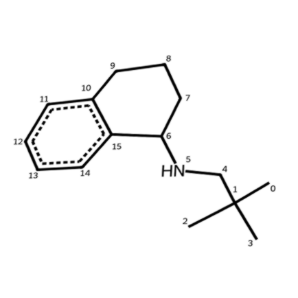 CC(C)(C)CNC1CCCc2ccccc21